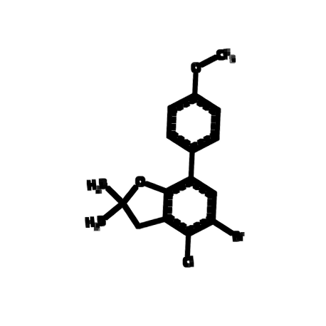 BC1(B)Cc2c(Cl)c(Br)cc(-c3ccc(OC(F)(F)F)cc3)c2O1